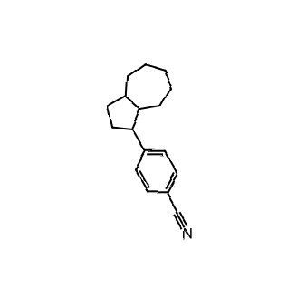 N#Cc1ccc(C2CCC3CCCCCC32)cc1